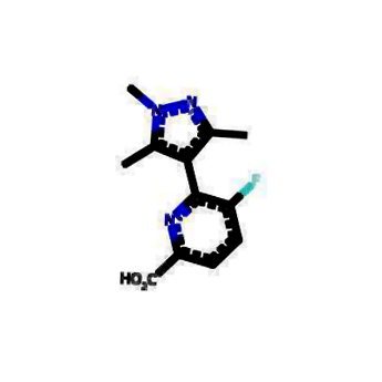 Cc1nn(C)c(C)c1-c1nc(C(=O)O)ccc1F